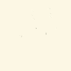 CC(=O)O[C@H]1[C@H](O[C@@H]2CCC[C@@H]([C@@H](C)NC(=O)OCc3ccccc3)O2)C(N=[N+]=[N-])CC(N=[N+]=[N-])[C@@H]1OC(C)=O